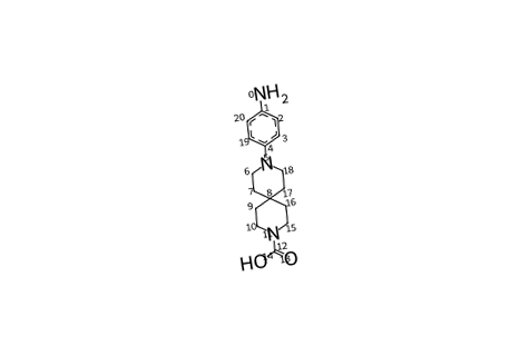 Nc1ccc(N2CCC3(CCN(C(=O)O)CC3)CC2)cc1